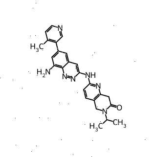 Cc1ccncc1-c1cc(N)c2nnc(Nc3ccc4c(n3)CC(=O)N(C(C)C)C4)cc2c1